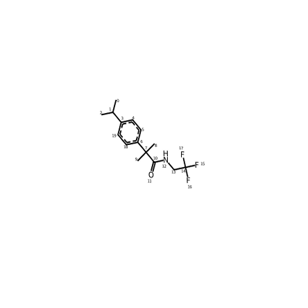 CC(C)c1ccc(C(C)(C)C(=O)NCC(F)(F)F)cc1